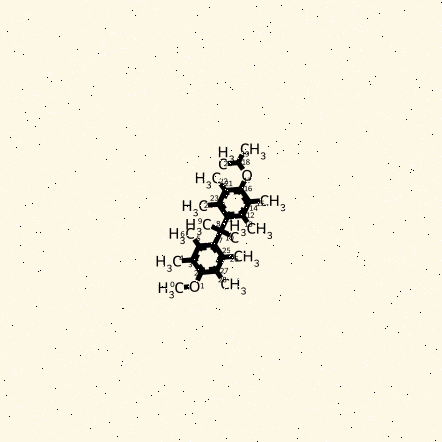 COc1c(C)c(C)c(C(C)(C)c2c(C)c(C)c(OC(C)C)c(C)c2C)c(C)c1C